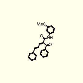 COc1cccc(NC(=O)C(=CC=Cc2ccccc2)C(=O)c2ccccc2)c1